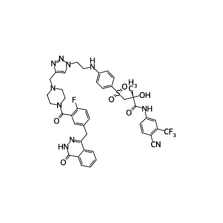 C[C@](O)(CS(=O)(=O)c1ccc(NCCn2cc(CN3CCN(C(=O)c4cc(Cc5n[nH]c(=O)c6ccccc56)ccc4F)CC3)nn2)cc1)C(=O)Nc1ccc(C#N)c(C(F)(F)F)c1